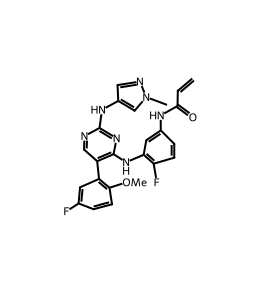 C=CC(=O)Nc1ccc(F)c(Nc2nc(Nc3cnn(C)c3)ncc2-c2cc(F)ccc2OC)c1